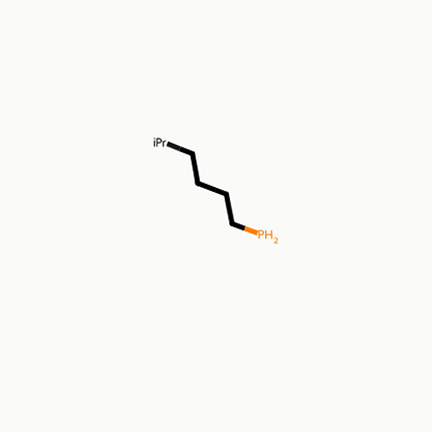 CC(C)CCCCP